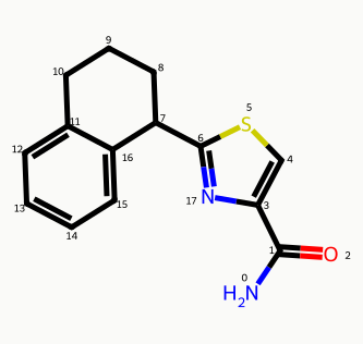 NC(=O)c1csc(C2CCCc3ccccc32)n1